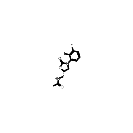 CC(=O)NC[C@H]1CN(c2cccc(F)c2I)C(=O)O1